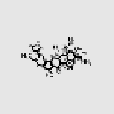 CCN(Cc1cc(O)c2c(c1F)C[C@H]1C[C@H]3[C@H](N(C)C)C(O)=C(C(N)=O)C(=O)[C@@]3(O)C(O)=C1C2=O)CC1CCOC1